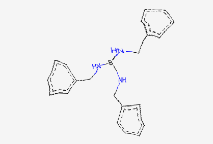 c1ccc(CNB(NCc2ccccc2)NCc2ccccc2)cc1